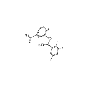 O=C(O)c1ccc(F)c(OC(O)c2cc(I)cc(I)c2I)c1